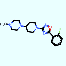 CN1CCN(C2CCN(c3noc(-c4ccccc4F)n3)CC2)CC1